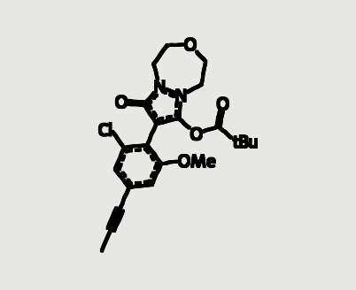 CC#Cc1cc(Cl)c(-c2c(OC(=O)C(C)(C)C)n3n(c2=O)CCOCC3)c(OC)c1